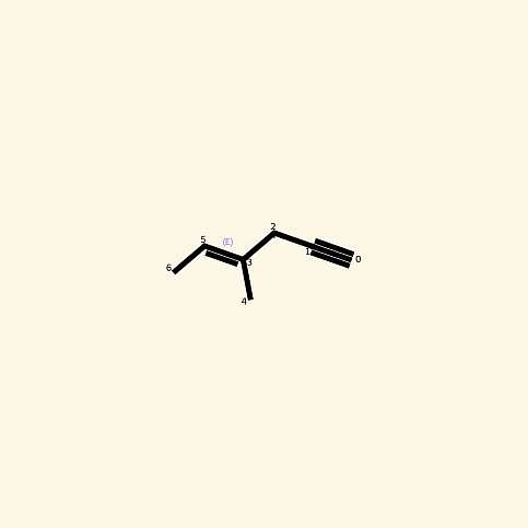 C#C[CH]/C(C)=C/C